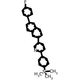 C[Si](C)(C)c1ccc(-c2ccc(-c3ccc4cc(-c5ccc(F)cc5)ccc4c3)cn2)cc1